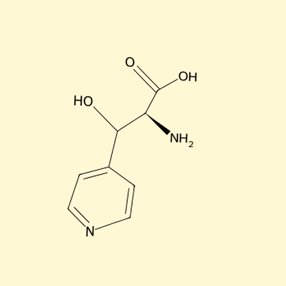 N[C@H](C(=O)O)C(O)c1ccncc1